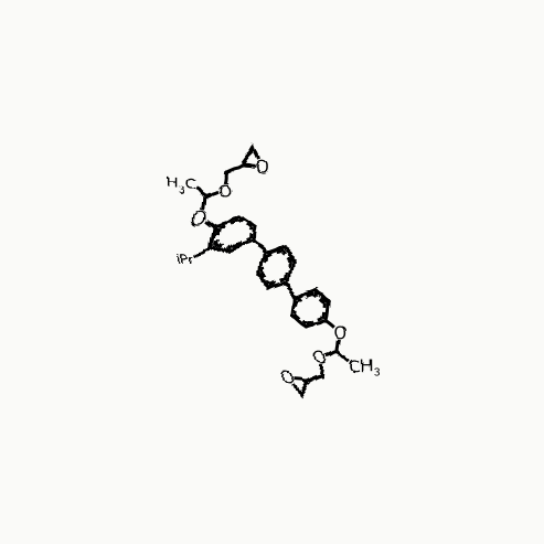 CC(OCC1CO1)Oc1ccc(-c2ccc(-c3ccc(OC(C)OCC4CO4)c(C(C)C)c3)cc2)cc1